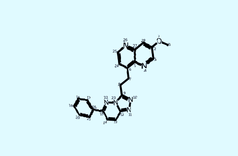 COc1cnc2c(CCc3nnc4ccc(-c5ccccc5)nn34)ccnc2c1